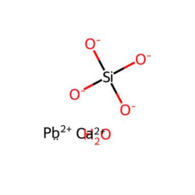 O.[Ca+2].[O-][Si]([O-])([O-])[O-].[Pb+2]